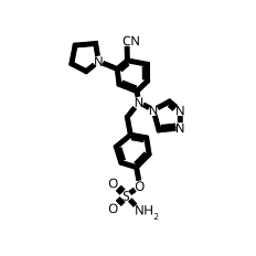 N#Cc1ccc(N(Cc2ccc(OS(N)(=O)=O)cc2)n2cnnc2)cc1N1CCCC1